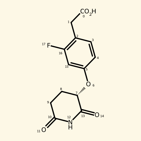 O=C(O)Cc1ccc(O[C@H]2CCC(=O)NC2=O)cc1F